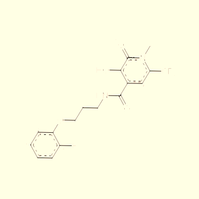 Cn1c(C(F)(F)F)cc(C(=O)NCCCOc2ccccc2F)c(O)c1=O